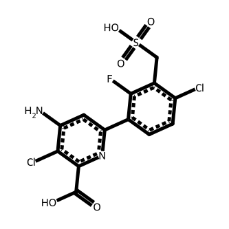 Nc1cc(-c2ccc(Cl)c(CS(=O)(=O)O)c2F)nc(C(=O)O)c1Cl